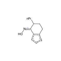 CCCC1CCc2sccc2/C1=N\O